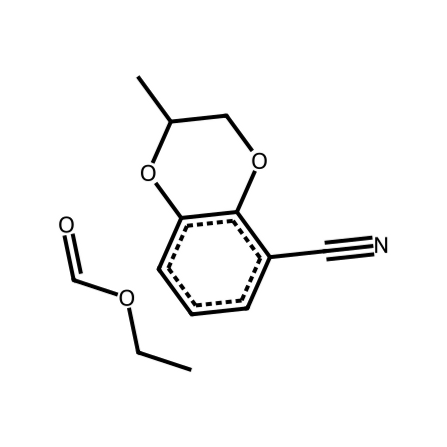 CC1COc2c(C#N)cccc2O1.CCOC=O